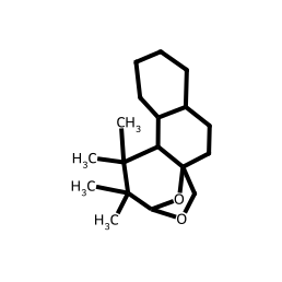 CC1(C)C2OCC3(CCC4CCCCC4C3C1(C)C)O2